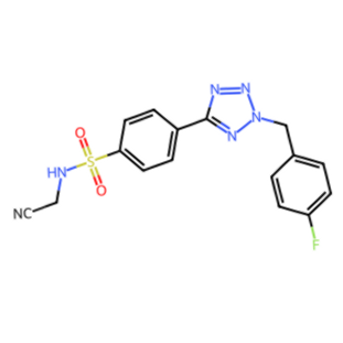 N#CCNS(=O)(=O)c1ccc(-c2nnn(Cc3ccc(F)cc3)n2)cc1